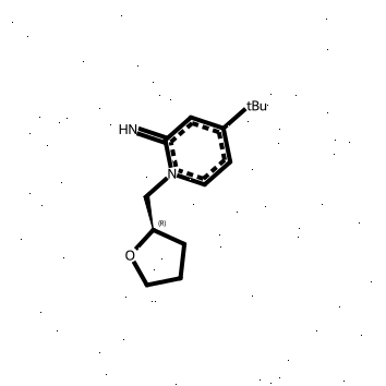 CC(C)(C)c1ccn(C[C@H]2CCCO2)c(=N)c1